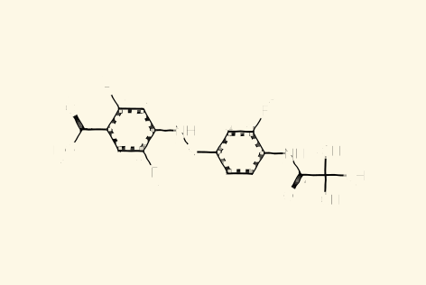 CC(C)(C)C(=O)Nc1ccc(SNc2cc(F)c(C(=O)O)cc2F)cc1F